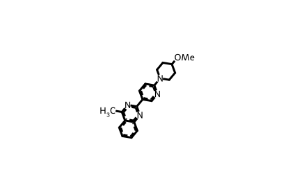 COC1CCN(c2ccc(-c3nc(C)c4ccccc4n3)cn2)CC1